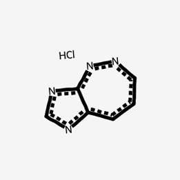 Cl.c1cnnc2ncnc-2c1